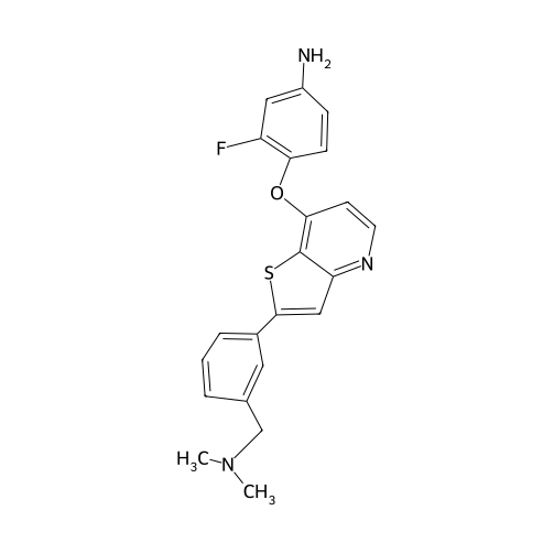 CN(C)Cc1cccc(-c2cc3nccc(Oc4ccc(N)cc4F)c3s2)c1